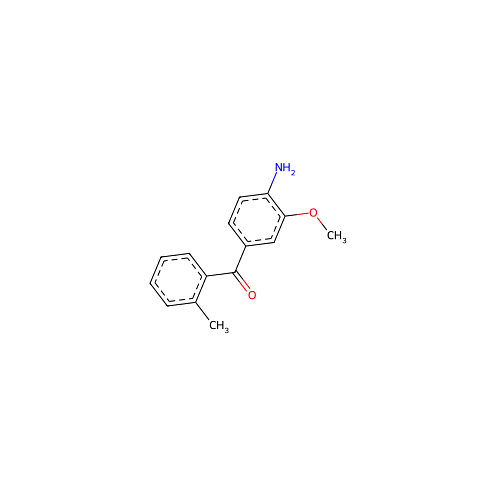 COc1cc(C(=O)c2ccccc2C)ccc1N